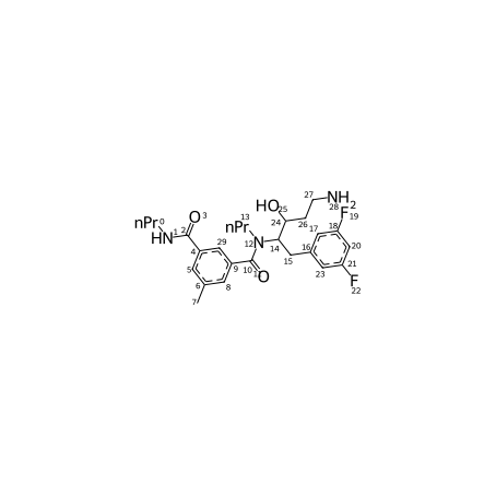 CCCNC(=O)c1cc(C)cc(C(=O)N(CCC)C(Cc2cc(F)cc(F)c2)C(O)CCN)c1